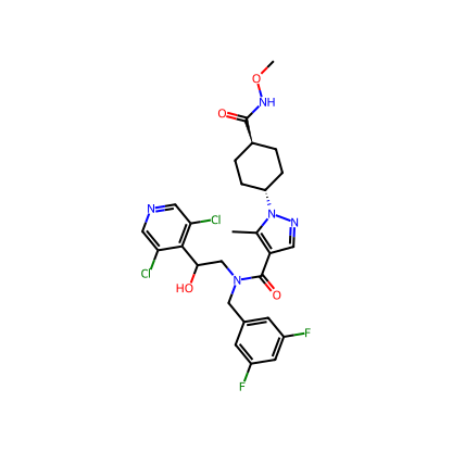 CONC(=O)[C@H]1CC[C@H](n2ncc(C(=O)N(Cc3cc(F)cc(F)c3)CC(O)c3c(Cl)cncc3Cl)c2C)CC1